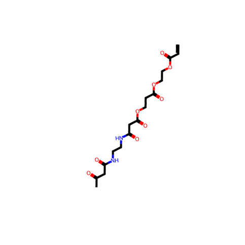 C=CC(=O)OCCOC(=O)CCOC(=O)CC(=O)NCCNC(=O)CC(C)=O